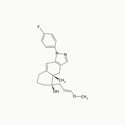 CO/C=C/C[C@]1(O)CCCC2=Cc3c(cnn3-c3ccc(F)cc3)C[C@@]21C